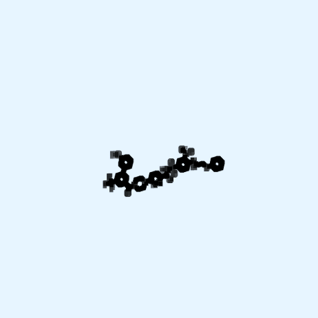 O=C(NS(=O)(=O)c1ccc(NCCSc2ccccc2)c([N+](=O)[O-])c1)c1ccc(N2CCN(C(=O)c3cc(-c4cccc(O)c4)cc(C(F)(F)F)c3)CC2)nn1